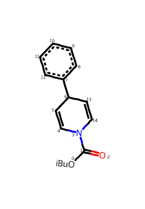 CC(C)COC(=O)N1C=CC(c2ccccc2)C=C1